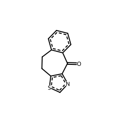 O=C1c2ccccc2CCc2scnc21